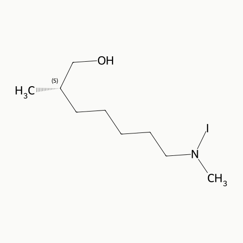 C[C@H](CO)CCCCCN(C)I